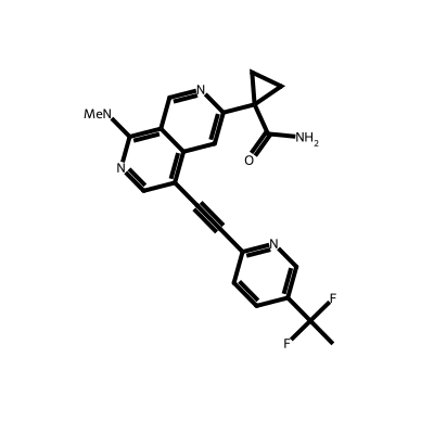 CNc1ncc(C#Cc2ccc(C(C)(F)F)cn2)c2cc(C3(C(N)=O)CC3)ncc12